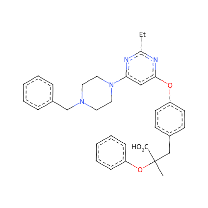 CCc1nc(Oc2ccc(CC(C)(Oc3ccccc3)C(=O)O)cc2)cc(N2CCN(Cc3ccccc3)CC2)n1